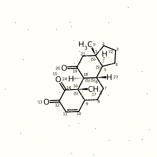 C[C@@]12CCC[C@H]1[C@@H]1CCC3C=CC(=O)C(=O)[C@]3(C)[C@H]1C(=O)C2